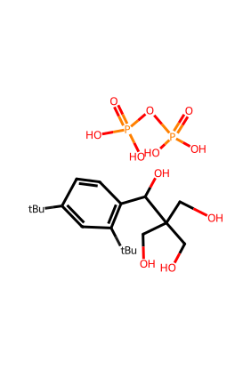 CC(C)(C)c1ccc(C(O)C(CO)(CO)CO)c(C(C)(C)C)c1.O=P(O)(O)OP(=O)(O)O